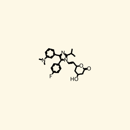 CC(C)c1nc(-c2cccc(N(C)C)c2)c(-c2ccc(F)cc2)n1C=CC1CC(O)CC(=O)O1